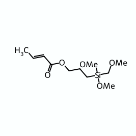 CC=CC(=O)OCCC[Si](COC)(OC)OC